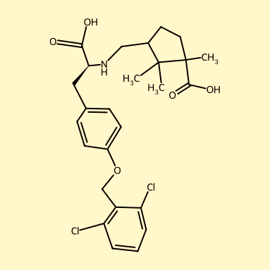 CC1(C(=O)O)CCC(CN[C@@H](Cc2ccc(OCc3c(Cl)cccc3Cl)cc2)C(=O)O)C1(C)C